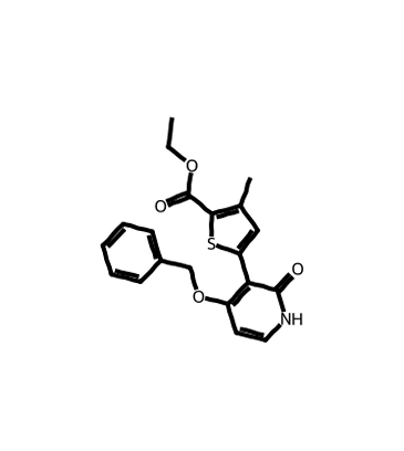 CCOC(=O)c1sc(-c2c(OCc3ccccc3)cc[nH]c2=O)cc1C